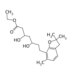 CCOC(=O)CC(O)CC(O)CCc1c(C)ccc2c1OC(C)(C)C2